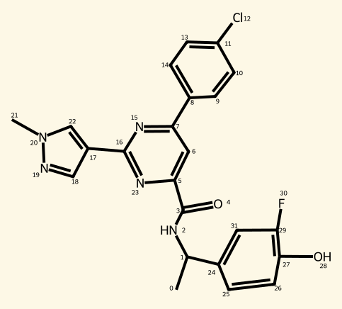 CC(NC(=O)c1cc(-c2ccc(Cl)cc2)nc(-c2cnn(C)c2)n1)c1ccc(O)c(F)c1